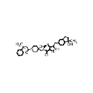 C[C@H](CC(=O)N1CCC(O)(Cn2cnc3c(Cc4ccc5c(c4)CCC5(C)O)[nH]nc3c2=O)CC1)c1ccccc1